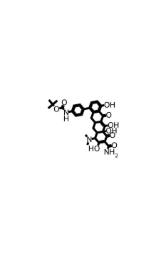 CN(C)C1C(O)=C(C(N)=O)C(=O)C2(O)C(O)=C3C(=O)c4c(O)ccc(-c5ccc(NC(=O)OC(C)(C)C)cc5)c4CC3CC12